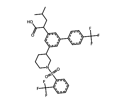 CC(C)CC(C(=O)O)c1cc(-c2ccc(C(F)(F)F)cc2)cc(C2CCCN(S(=O)(=O)c3ccccc3C(F)(F)F)C2)c1